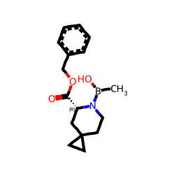 CB(O)N1CCC2(CC2)C[C@@H]1C(=O)OCc1ccccc1